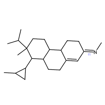 C/N=C1/C=C2CCC3C(CCC(C)(C(C)C)C3C3CC3C)C2CC1